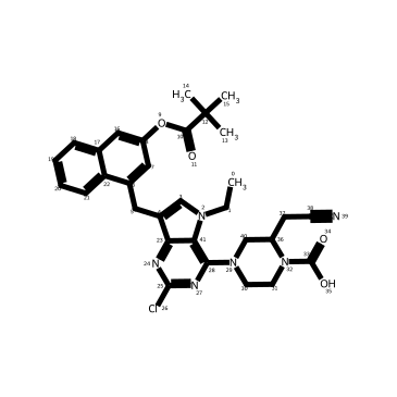 CCn1cc(Cc2cc(OC(=O)C(C)(C)C)cc3ccccc23)c2nc(Cl)nc(N3CCN(C(=O)O)C(CC#N)C3)c21